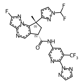 C[C@@]1(c2ccn(C(F)F)n2)C[C@H](C(=O)Nc2cnc(-n3nccn3)c(C(F)(F)F)c2)c2cnc3cc(F)nn3c21